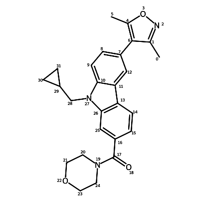 Cc1noc(C)c1-c1ccc2c(c1)c1ccc(C(=O)N3CCOCC3)cc1n2CC1CC1